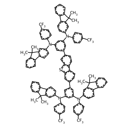 CC1(C)c2ccccc2-c2ccc(N(c3ccc(C(F)(F)F)cc3)c3cc(-c4ccc5c(c4)sc4cc(-c6cc(N(c7ccc(C(F)(F)F)cc7)c7ccc8c(c7)C(C)(C)c7ccccc7-8)cc(N(c7ccc(C(F)(F)F)cc7)c7ccc8c(c7)C(C)(C)c7ccccc7-8)c6)ccc45)cc(N(c4ccc(C(F)(F)F)cc4)c4ccc5c(c4)C(C)(C)c4ccccc4-5)c3)cc21